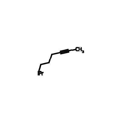 CC#CCCCC(C)C